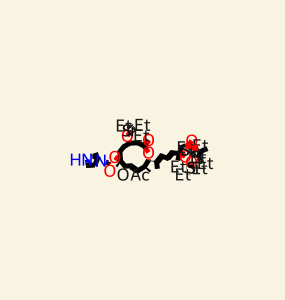 CCC(O[Si](CC)(CC)CC)C(C)[C@H]1O[C@@H]1CC(C)(/C=C/C=C(\C)[C@H]1OC(=O)C[C@H](O[Si](CC)(CC)CC)CC[C@@](C)(OC(=O)N2CC3CC2CN3)[C@@H](OC(C)=O)/C=C/[C@@H]1C)O[Si](CC)(CC)CC